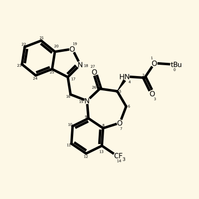 CC(C)(C)OC(=O)N[C@H]1COc2c(cccc2C(F)(F)F)N(Cc2noc3ccccc23)C1=O